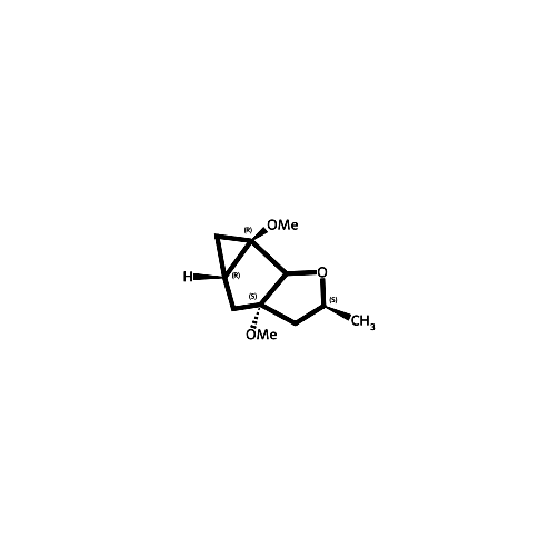 CO[C@]12C[C@@H]3C[C@]3(OC)C1O[C@@H](C)C2